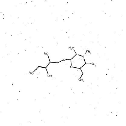 CCC1O[C@@H](OCC(O)C(O)CO)C(C)[C@H](C)[C@@H]1C